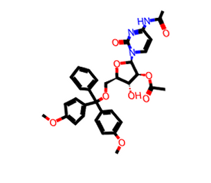 COc1ccc(C(OC[C@H]2O[C@@H](n3ccc(NC(C)=O)nc3=O)[C@@H](OC(C)=O)[C@@H]2O)(c2ccccc2)c2ccc(OC)cc2)cc1